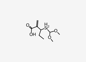 C=C(C(=O)O)C(CC)[SiH2]C(OC)OC